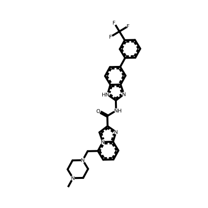 CN1CCN(Cc2cccc3nc(C(=O)Nc4nc5cc(-c6cccc(C(F)(F)F)c6)ccc5[nH]4)cn23)CC1